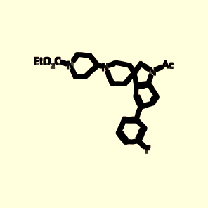 CCOC(=O)N1CCC(N2CCC3(CC2)CN(C(C)=O)c2ccc(-c4cccc(F)c4)cc23)CC1